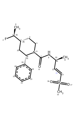 C[C@H](F)[C@@H]1CCN(C(=O)N[C@@H](C)/C=C/S(C)(=O)=O)[C@H](c2ccccc2)C1